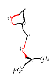 CC(C)OCC1CO1